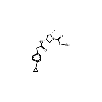 C[C@H]1C[C@@H](NC(=O)Cc2ccc(C3CC3)cc2)CN1C(=O)OC(C)(C)C